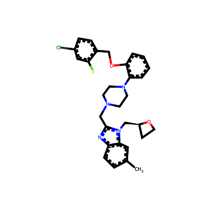 Cc1ccc2nc(CN3CCN(c4ccccc4OCc4ccc(Cl)cc4F)CC3)n(C[C@@H]3CCO3)c2c1